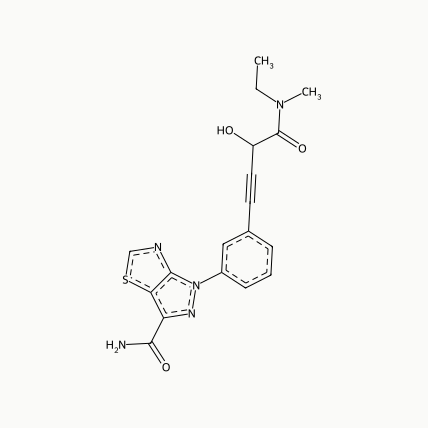 CCN(C)C(=O)C(O)C#Cc1cccc(-n2nc(C(N)=O)c3scnc32)c1